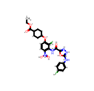 CCOC(=O)C1CCC(Oc2ccc([N+](=O)[O-])c(NC(=O)c3nnc(Nc4ccc(F)cc4)o3)c2F)CC1